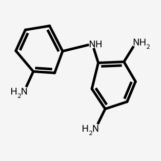 Nc1cccc(Nc2cc(N)ccc2N)c1